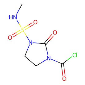 CNS(=O)(=O)N1CCN(C(=O)Cl)C1=O